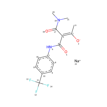 CC([O-])=C(C(=O)Nc1ccc(C(F)(F)F)cc1)C(=O)N(C)C.[Na+]